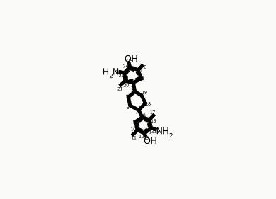 Cc1cc(C2CCC(c3cc(C)c(O)c(N)c3C)CC2)c(C)c(N)c1O